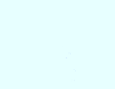 CCN(C)/C=N/c1cc(C)c(OCC(F)(F)F)cc1C